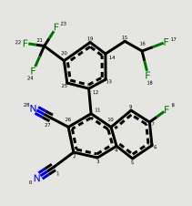 N#Cc1cc2ccc(F)cc2c(-c2cc(CC(F)F)cc(C(F)(F)F)c2)c1C#N